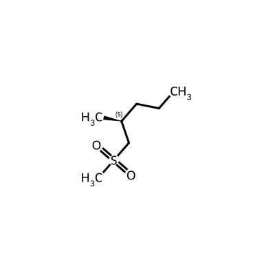 CCC[C@H](C)CS(C)(=O)=O